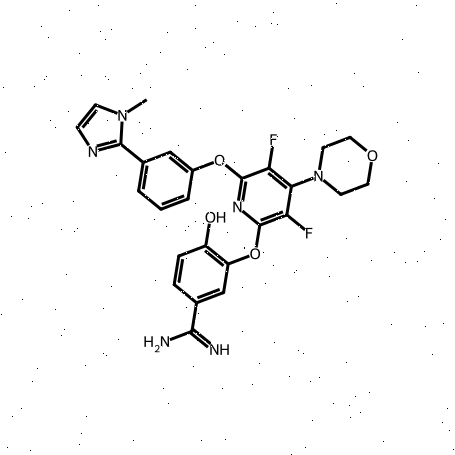 Cn1ccnc1-c1cccc(Oc2nc(Oc3cc(C(=N)N)ccc3O)c(F)c(N3CCOCC3)c2F)c1